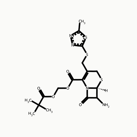 Cc1nnc(SCC2=C(C(=O)OCOC(=O)C(C)(C)C)N3C(=O)C(N)[C@@H]3SC2)s1